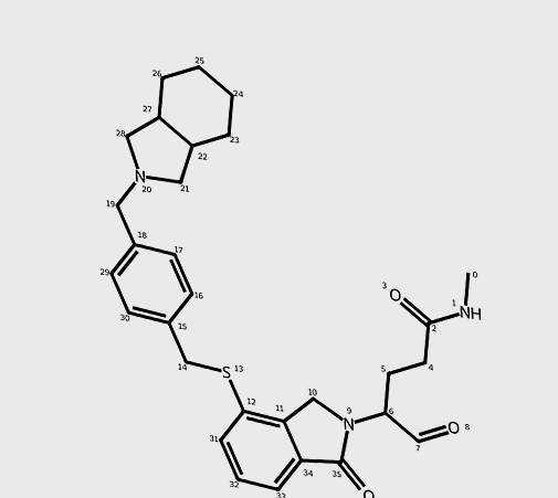 CNC(=O)CCC(C=O)N1Cc2c(SCc3ccc(CN4CC5CCCCC5C4)cc3)cccc2C1=O